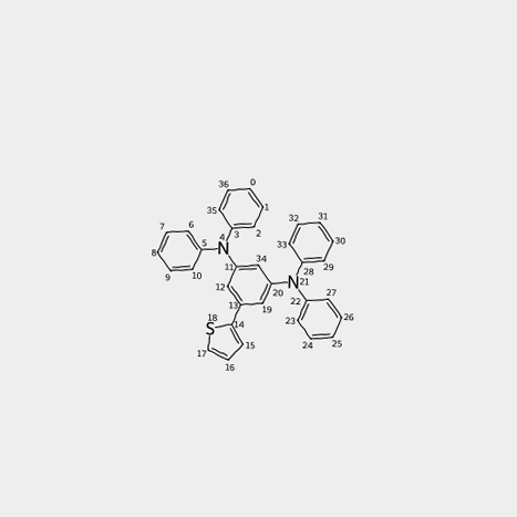 c1ccc(N(c2ccccc2)c2cc(-c3cccs3)cc(N(c3ccccc3)c3ccccc3)c2)cc1